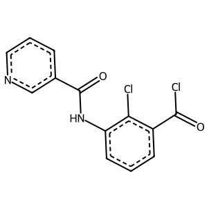 O=C(Nc1cccc(C(=O)Cl)c1Cl)c1cccnc1